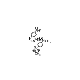 CNc1ccc2ncnc(Nc3cc(S(=O)(=O)NC)ccc3N(C)C)c2c1